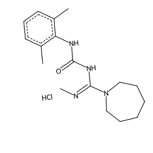 CN=C(NC(=O)Nc1c(C)cccc1C)N1CCCCCC1.Cl